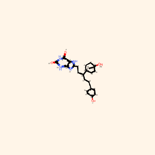 O=c1[nH]c(=O)c2[nH]c(CCC(CCc3ccc(O)cc3)C34CCC(O)(CC3)CC4)nc2[nH]1